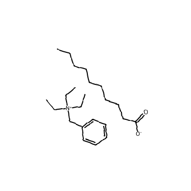 CCCCCCCCCC(=O)[O-].CC[N+](CC)(CC)Cc1ccccc1